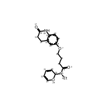 CCN(C(=O)CCCOc1ccc2c(c1)CCC(=O)N2)C1C=CC=CO1